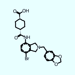 O=C(O)[C@H]1CC[C@H](C(=O)Nc2ccc(Br)c3c2CN(Cc2ccc4c(c2)OCO4)C3)CC1